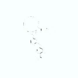 CC(C)(C)OC(=O)N1CCCCCCCCCCC2CCC1CN(c1ccnc(Nc3cnc(C(N)=O)c(F)c3)n1)C2